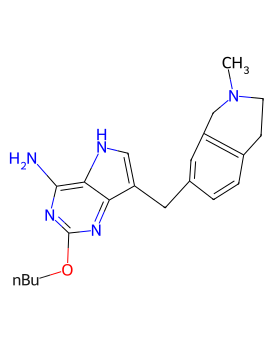 CCCCOc1nc(N)c2[nH]cc(Cc3ccc4c(c3)CN(C)CC4)c2n1